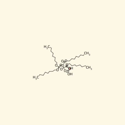 CCCCCCCCOP(=O)(OCCCCCCCC)OC([O][Zr](=[O])[OH])(OP(=O)(OCCCCCCCC)OCCCCCCCC)C(=O)O